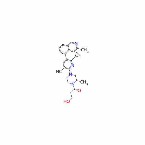 Cc1cc2c(-c3cc(C#N)c(N4CCN(C(=O)CCO)C(C)C4)nc3C3CC3)cccc2cn1